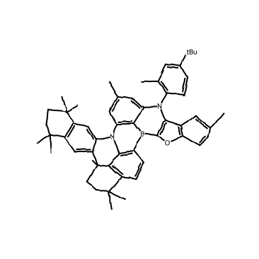 Cc1cc2c3c(c1)N(c1ccc(C(C)(C)C)cc1C)c1c(oc4ccc(C)cc14)B3c1ccc3c4c1N2c1cc2c(cc1C4(C)CCC3(C)C)C(C)(C)CCC2(C)C